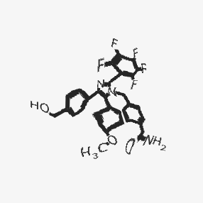 COc1ccc(-c2c(-c3ccc(CO)cc3)nc(-c3c(F)c(F)c(F)c(F)c3F)n2Cc2ccc(C(N)=O)cc2)cc1